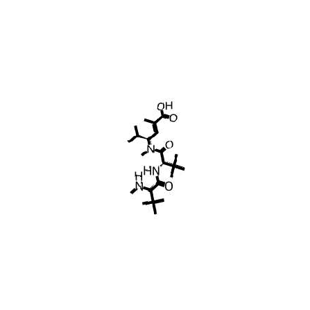 CNC(C(=O)N[C@H](C(=O)N(C)[C@H](/C=C(\C)C(=O)O)C(C)C)C(C)(C)C)C(C)(C)C